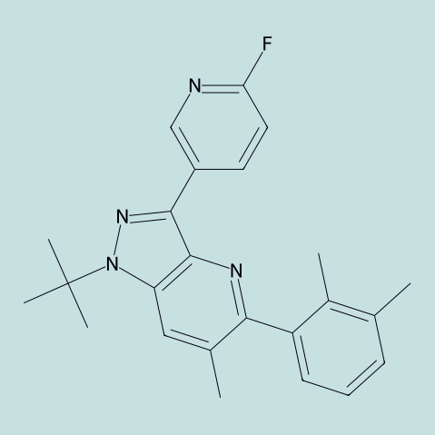 Cc1cc2c(nc1-c1cccc(C)c1C)c(-c1ccc(F)nc1)nn2C(C)(C)C